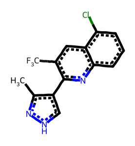 Cc1n[nH]cc1-c1nc2cccc(Cl)c2cc1C(F)(F)F